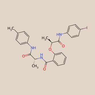 Cc1ccc(NC(=O)[C@@H](C)NC(=O)c2ccccc2O[C@@H](C)C(=O)Nc2ccc(I)cc2)cc1